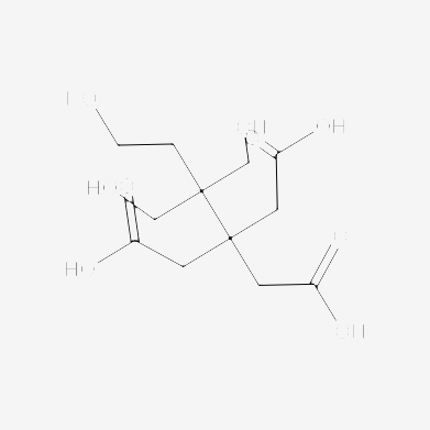 O=C(O)CC(CC(=O)O)(CC(=O)O)C(CO)(CO)CCO